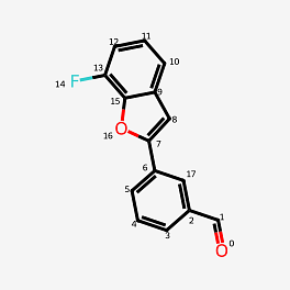 O=Cc1cccc(-c2cc3cccc(F)c3o2)c1